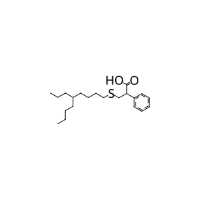 CCCCC(CCC)CCCCSCC(C(=O)O)c1ccccc1